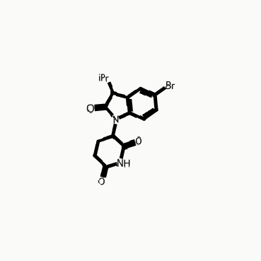 CC(C)C1C(=O)N(C2CCC(=O)NC2=O)c2ccc(Br)cc21